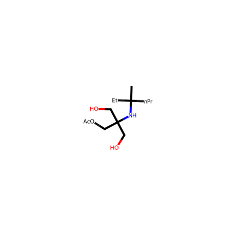 CCCC(C)(CC)NC(CO)(CO)COC(C)=O